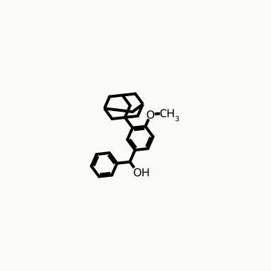 COc1ccc(C(O)c2ccccc2)cc1C12CC3CC(CC(C3)C1)C2